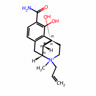 C=CC[N+]1(C)CC[C@]23C[C@@H](O)C=C[C@H]2[C@H]1Cc1ccc(C(N)=O)c(O)c13